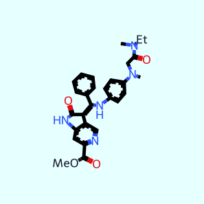 CCN(C)C(=O)CN(C)c1ccc(NC(=C2C(=O)Nc3cc(C(=O)OC)ncc32)c2ccccc2)cc1